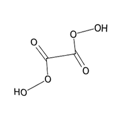 O=C(OO)C(=O)OO